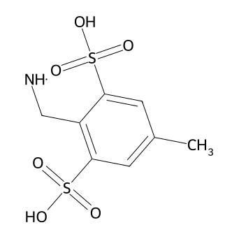 Cc1cc(S(=O)(=O)O)c(C[NH])c(S(=O)(=O)O)c1